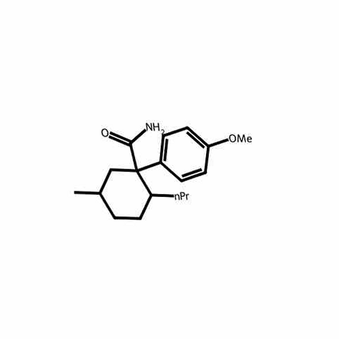 CCCC1CCC(C)CC1(C(N)=O)c1ccc(OC)cc1